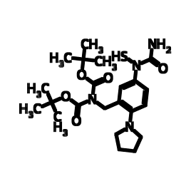 CC(C)(C)OC(=O)N(Cc1cc(N(S)C(N)=O)ccc1N1CCCC1)C(=O)OC(C)(C)C